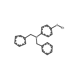 CCSc1ccc(N(Cc2ccccc2)Cc2ccccc2)cc1